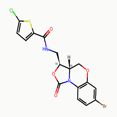 O=C(NC[C@@H]1OC(=O)N2c3ccc(Br)cc3OC[C@@H]12)c1ccc(Cl)s1